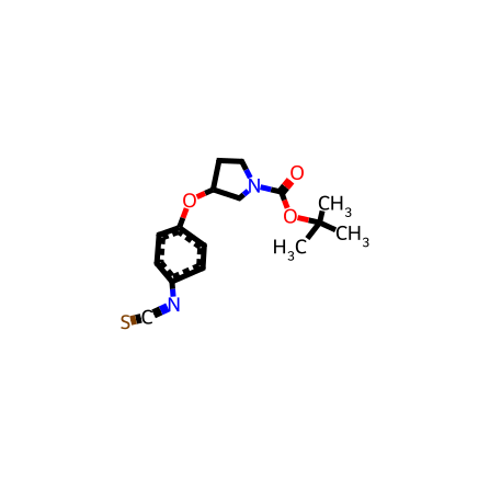 CC(C)(C)OC(=O)N1CCC(Oc2ccc(N=C=S)cc2)C1